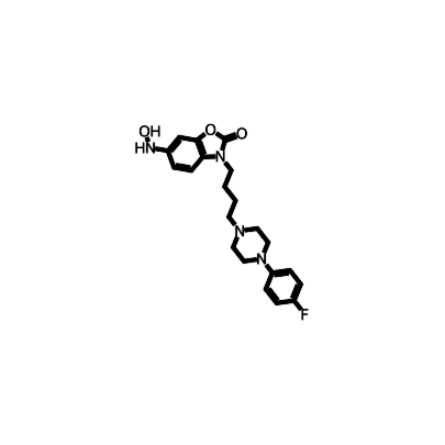 O=c1oc2cc(NO)ccc2n1CCCCN1CCN(c2ccc(F)cc2)CC1